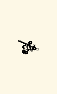 CCCCCCCC(CCC(C)OC)NC(=O)N(c1ccccc1)c1[nH]n(-c2c(Cl)cc(Cl)cc2Cl)c(=O)c1OC(=O)Nc1cccc2ccccc12